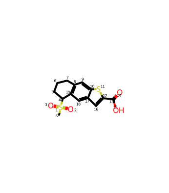 CS(=O)(=O)C1CCCc2cc3sc(C(=O)O)cc3cc21